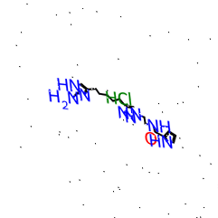 Cl.Nc1nc(CCCCCc2cn(CCNC(=O)c3ccc[nH]3)nn2)c[nH]1